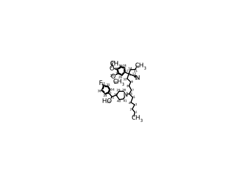 CCCCCCC(CCCCC(C#N)(CCC)c1ccc(OC)c(OC)c1)N1CCC(C(O)c2ccc(F)cc2)CC1